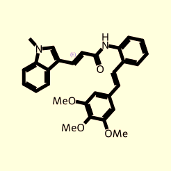 COc1cc(C=Cc2ccccc2NC(=O)/C=C/c2cn(C)c3ccccc23)cc(OC)c1OC